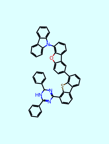 c1ccc(C2=NC(c3cccc4c3sc3c(-c5ccc6oc7c(-n8c9ccccc9c9ccccc98)cccc7c6c5)cccc34)=NC(c3ccccc3)N2)cc1